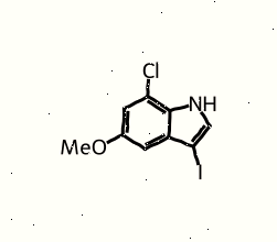 COc1cc(Cl)c2[nH]cc(I)c2c1